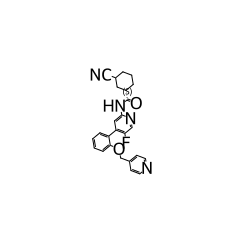 N#CC1CCC[C@H](C(=O)Nc2cc(-c3ccccc3OCc3ccncc3)c(F)cn2)C1